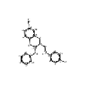 Cc1ccc(OC[C@@H]2Cc3cc(F)ccc3CN2Cc2ccccc2)cc1